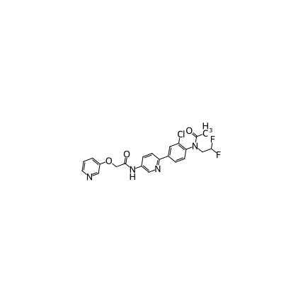 CC(=O)N(CC(F)F)c1ccc(-c2ccc(NC(=O)COc3cccnc3)cn2)cc1Cl